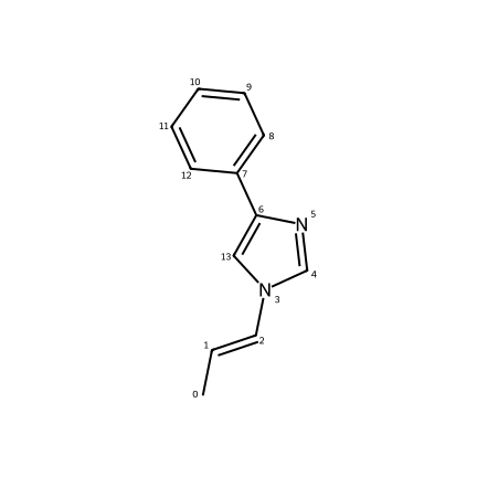 CC=Cn1cnc(-c2ccccc2)c1